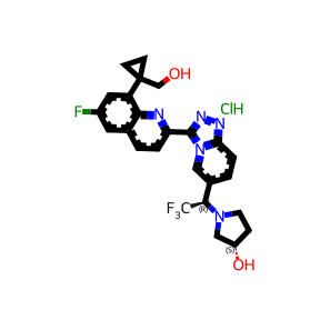 Cl.OCC1(c2cc(F)cc3ccc(-c4nnc5ccc([C@@H](N6CC[C@H](O)C6)C(F)(F)F)cn45)nc23)CC1